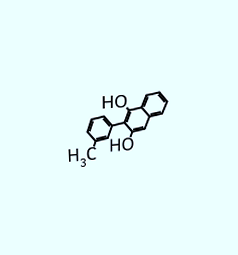 Cc1cccc(-c2c(O)cc3ccccc3c2O)c1